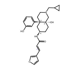 O=C(/C=C/c1ccoc1)N[C@@H]1CC[C@]2(O)CN(CC3CC3)CC[C@@]2(c2cccc(O)c2)C1